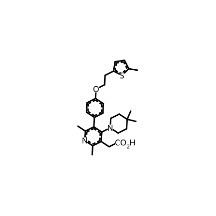 Cc1ccc(CCOc2ccc(-c3c(C)nc(C)c(CC(=O)O)c3N3CCC(C)(C)CC3)cc2)s1